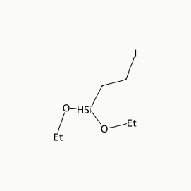 CCO[SiH](CCI)OCC